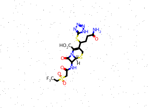 NC(=O)CCC(Sc1nnn[nH]1)C1=C(C(=O)O)N2C(=O)C(NC(=O)CS(=O)(=O)CC(F)(F)F)[C@@H]2SC1